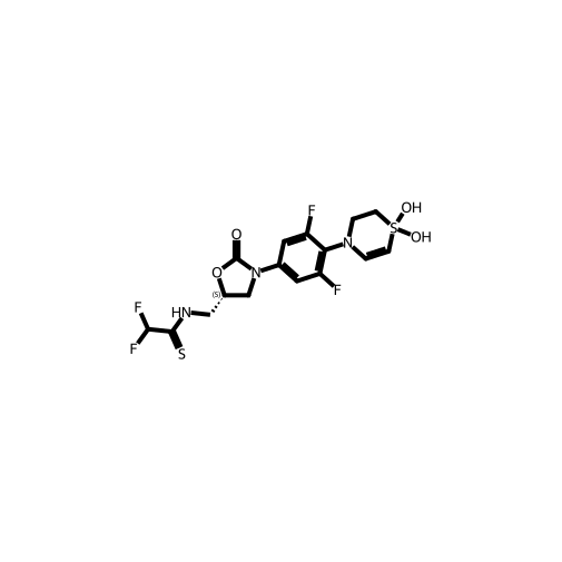 O=C1O[C@@H](CNC(=S)C(F)F)CN1c1cc(F)c(N2C=CS(O)(O)CC2)c(F)c1